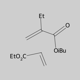 C=C(CC)C(=O)OCC(C)C.C=CC(=O)OCC